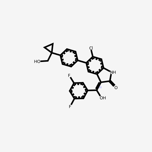 O=C1Nc2cc(Cl)c(-c3ccc(C4(CO)CC4)cc3)cc2/C1=C(/O)c1cc(F)cc(F)c1